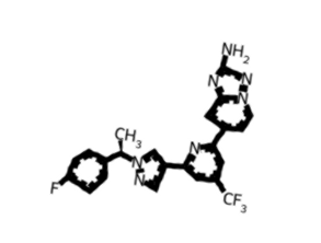 C[C@H](c1ccc(F)cc1)n1cc(-c2cc(C(F)(F)F)cc(-c3ccn4nc(N)nc4c3)n2)cn1